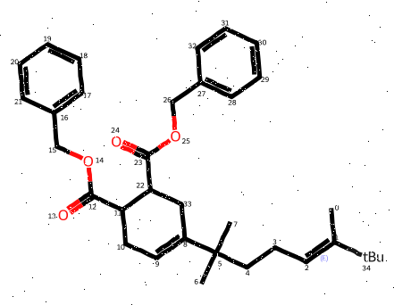 C/C(=C\CCC(C)(C)C1=CCC(C(=O)OCc2ccccc2)C(C(=O)OCc2ccccc2)C1)C(C)(C)C